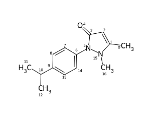 Cc1cc(=O)n(-c2ccc(C(C)C)cc2)n1C